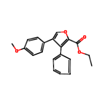 CCOC(=O)c1occ(-c2ccc(OC)cc2)c1-c1ccccc1